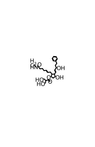 CCNC(=O)CCCC=CCC1C(OC(=O)C(CO)CO)CC(O)C1C=CC(O)CCc1ccccc1